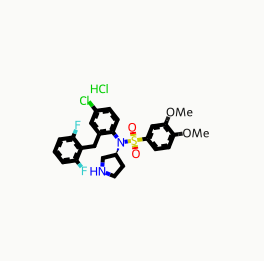 COc1ccc(S(=O)(=O)N(c2ccc(Cl)cc2Cc2c(F)cccc2F)[C@@H]2CCNC2)cc1OC.Cl